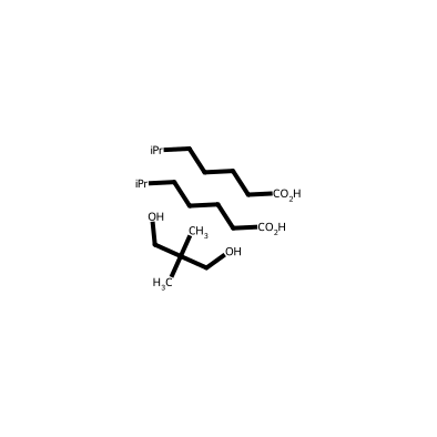 CC(C)(CO)CO.CC(C)CCCCC(=O)O.CC(C)CCCCC(=O)O